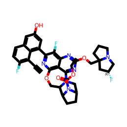 C#Cc1c(F)ccc2cc(O)cc(-c3nc4c5c(nc(OCC67CCCN6C[C@H](F)C7)nc5c3F)N3CC5CCC(C3CO4)N5C(=O)OCC)c12